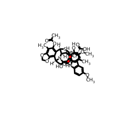 COc1ccc2[nH]c3c(c2c1)C[C@@H](C(=O)O)N[C@]31CS[C@@H]2c3c(OC(C)=O)c(C)c4c(c3[C@H](COC1=O)N1[C@@H]2[C@@H]2c3c(cc(C)c(OC)c3O)CC1(O)CN2C)OCO4